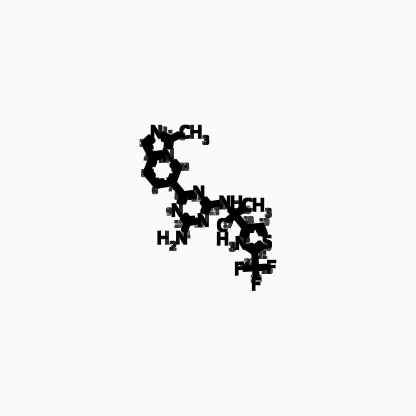 Cc1ncc2ccc(-c3nc(N)nc(NC(C)(C)c4csc(C(F)(F)F)n4)n3)cn12